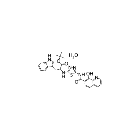 CC(C)(C)OC(=O)C(Cc1c[nH]c2ccccc12)Nc1nnc(NC(=O)c2ccc3cccnc3c2O)s1.O